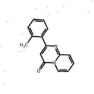 Cc1ccccc1-c1cc(=O)n2ccccc2n1